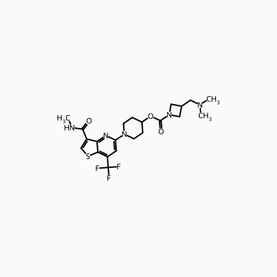 CNC(=O)c1csc2c(C(F)(F)F)cc(N3CCC(OC(=O)N4CC(CN(C)C)C4)CC3)nc12